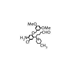 COc1cc(COc2cc(N)c(Cl)cc2C(CCCC=O)N2CCC(C)CC2)cc(OC)c1